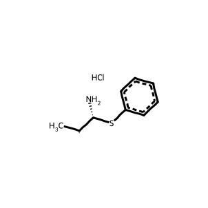 C[CH][C@H](N)Sc1ccccc1.Cl